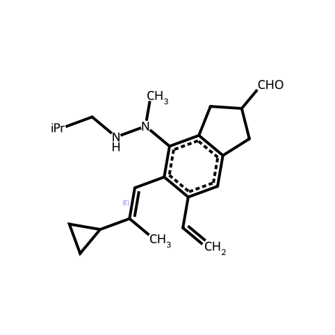 C=Cc1cc2c(c(N(C)NCC(C)C)c1/C=C(\C)C1CC1)CC(C=O)C2